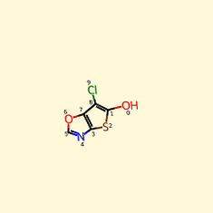 Oc1sc2ncoc2c1Cl